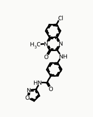 Cn1c(=O)c(Nc2ccc(C(=O)Nc3ccon3)cc2)nc2cc(Cl)ccc21